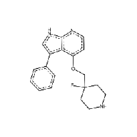 FC1(COc2ccnc3[nH]cc(-c4ccccc4)c23)CCNCC1